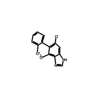 FC(F)(F)c1ccccc1-c1c(Cl)cc2[nH][c]nc2c1Cl